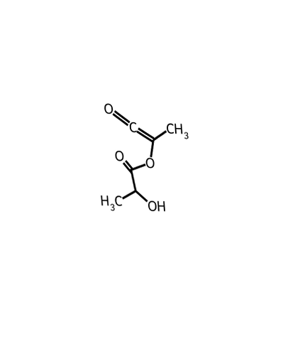 CC(=C=O)OC(=O)C(C)O